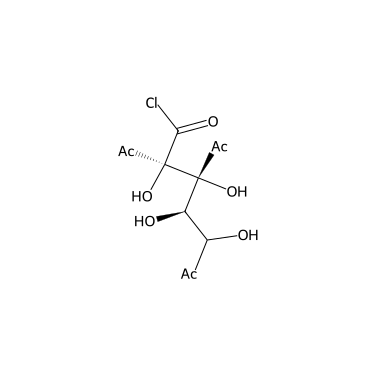 CC(=O)C(O)[C@@H](O)[C@](O)(C(C)=O)[C@](O)(C(C)=O)C(=O)Cl